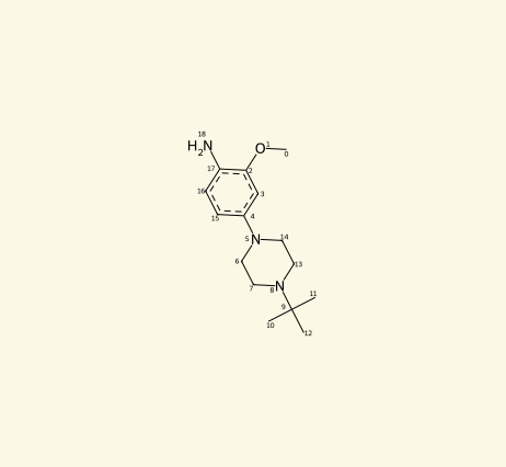 COc1cc(N2CCN(C(C)(C)C)CC2)ccc1N